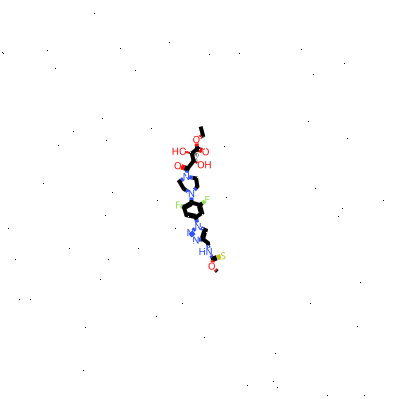 CCOC(=O)[C@H](O)[C@@H](O)C(=O)N1CCN(c2c(F)cc(-n3cc(CNC(=S)OC)nn3)cc2F)CC1